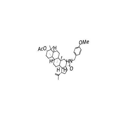 C=C(C)[C@@H]1CC[C@]2(C(=O)NCc3ccc(OC)cc3)CC[C@]3(C)[C@H](CC[C@@H]4[C@@]5(C)CC[C@H](OC(C)=O)C(C)(C)[C@@H]5CC[C@]43C)[C@@H]12